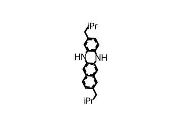 CC(C)Cc1ccc2c(c1)Nc1cc3ccc(CC(C)C)cc3cc1N2